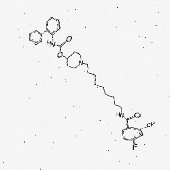 O=C(Nc1ccccc1-c1ccccc1)OC1CCN(CCCCCCCCCNC(=O)c2ccc(F)cc2O)CC1